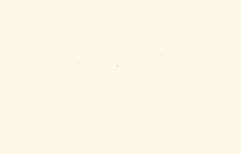 CCCCCC[C](CC)CCCC